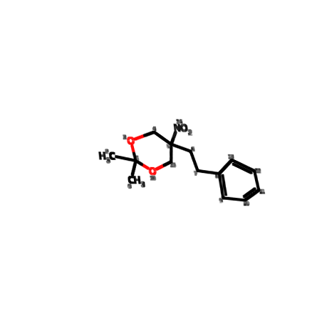 CC1(C)OCC(CCc2ccccc2)([N+](=O)[O-])CO1